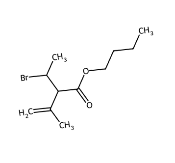 C=C(C)C(C(=O)OCCCC)C(C)Br